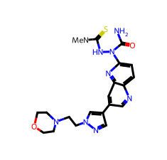 CNC(=S)NN(C(N)=O)c1ccc2ncc(-c3cnn(CCN4CCOCC4)c3)cc2n1